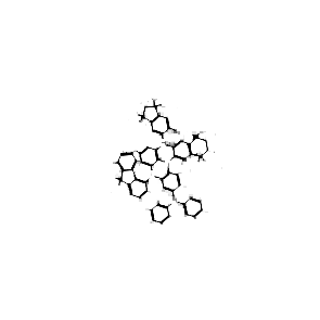 Cc1cc2c3c(c1)N(c1cccc4c1-c1ccccc1C4(C)C)c1cc(N(c4ccccc4)c4ccccc4)ccc1B3c1cc3c(cc1N2c1cc2c(cc1C)C(C)(C)CC2(C)C)C(C)(C)CCC3(C)C